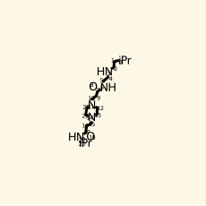 CC(C)CCNCCNC(=O)CCN1CCN(CCC(=O)NC(C)C)CC1